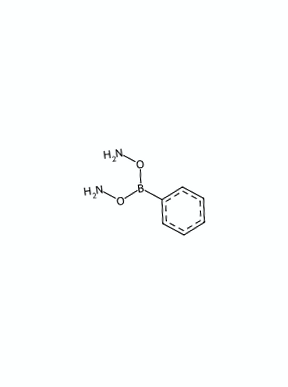 NOB(ON)c1ccccc1